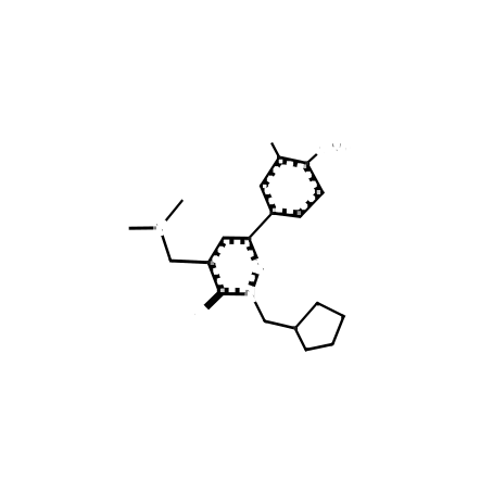 COc1ccc(-c2cc(CN(C)C)c(=O)n(CC3CCCC3)n2)cc1F